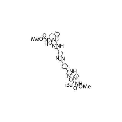 CC[C@H](C)[C@H](NC(=O)OC)C(=O)N1CCC[C@H]1c1ncc(-c2ccc(-c3cnc4cc(-c5cnc([C@@H]6Cc7cccc8c7N6C(=O)[C@@H](NC(=O)OC)CC8)[nH]5)ccc4n3)cc2)[nH]1